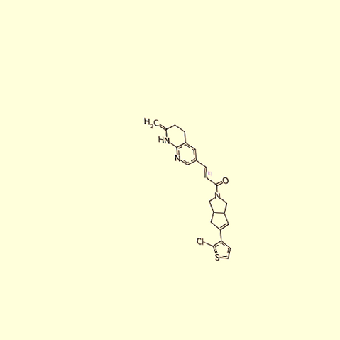 C=C1CCc2cc(/C=C/C(=O)N3CC4C=C(c5ccsc5Cl)CC4C3)cnc2N1